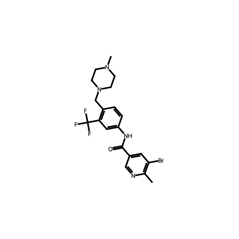 Cc1ncc(C(=O)Nc2ccc(CN3CCN(C)CC3)c(C(F)(F)F)c2)cc1Br